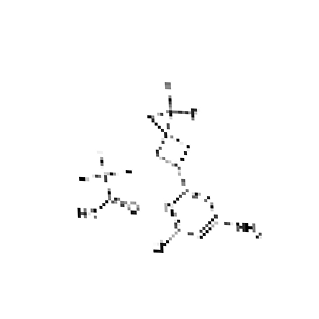 Nc1cc(Cl)nc(N2CC3(C2)CC3(F)F)c1.O=C(O)C(F)(F)F